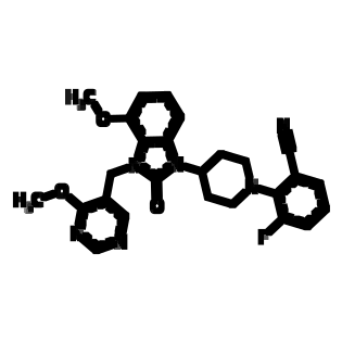 COc1ncncc1Cn1c(=O)n(C2CCN(c3c(F)cccc3C#N)CC2)c2cccc(OC)c21